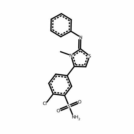 Cn1c(-c2ccc(Cl)c(S(N)(=O)=O)c2)cs/c1=N/c1ccccc1